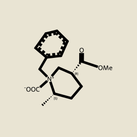 COC(=O)[C@@H]1CC[C@H](C)[N+](Cc2ccccc2)(C(=O)[O-])C1